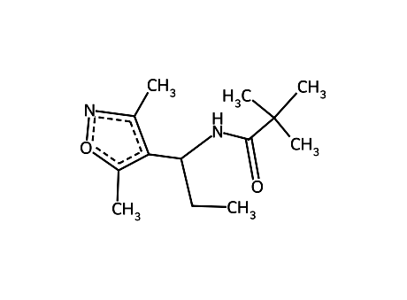 CCC(NC(=O)C(C)(C)C)c1c(C)noc1C